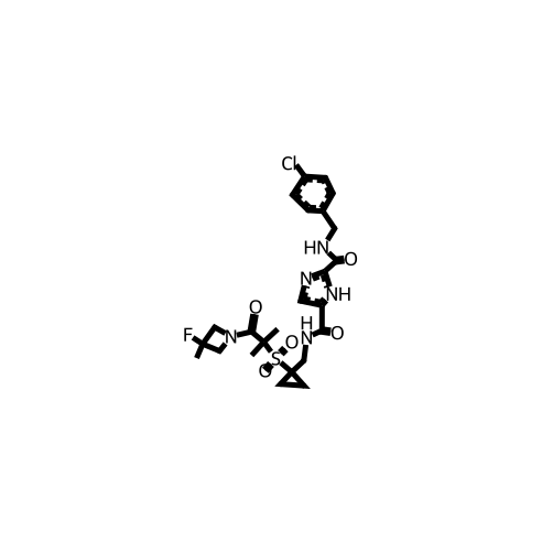 CC1(F)CN(C(=O)C(C)(C)S(=O)(=O)C2(CNC(=O)c3cnc(C(=O)NCc4ccc(Cl)cc4)[nH]3)CC2)C1